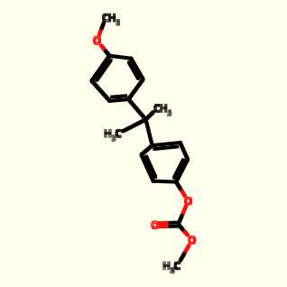 COC(=O)Oc1ccc(C(C)(C)c2ccc(OC)cc2)cc1